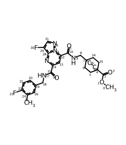 COC(=O)C12CCC(CNC(=O)c3cc(C(=O)NCc4ccc(F)c(C)c4)nc4c(F)cnn34)(CC1)CC2